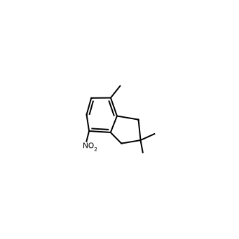 Cc1ccc([N+](=O)[O-])c2c1CC(C)(C)C2